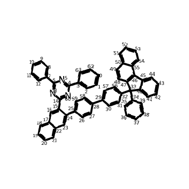 c1ccc(-c2nc(-c3ccccc3)nc(-c3cc4ccccc4cc3-c3ccc(-c4ccc(C5(c6ccccc6)c6ccccc6-c6c5ccc5ccccc65)cc4)cc3)n2)cc1